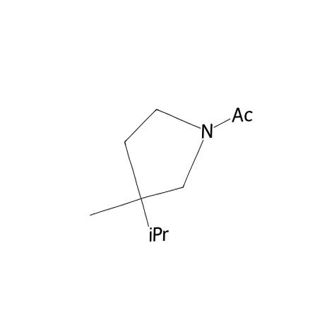 CC(=O)N1CCC(C)(C(C)C)C1